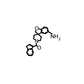 NCc1ccc2c(c1)C1(CCN(C(=O)C3=CCc4ccccc43)CC1)CO2